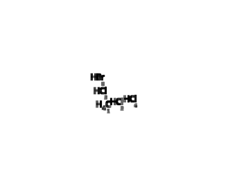 Br.C.Cl.Cl.Cl